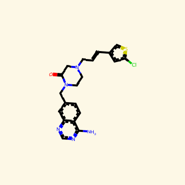 Nc1ncnc2cc(CN3CCN(C/C=C/c4csc(Cl)c4)CC3=O)ccc12